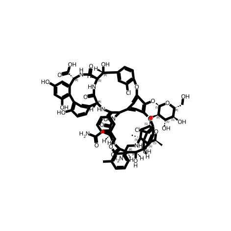 Cc1cccc(CN[C@@]2(C)C[C@H](O[C@H]3[C@H](Oc4c5cc6cc4Oc4ccc(cc4Cl)[C@@H](O)[C@@H]4NC(=O)[C@H](NC(=O)C6NC(=O)[C@H](CC(N)=O)NC(=O)[C@H](N)[C@H](O)[C@H]6C=CC(=C(Cl)C6)O5)c5ccc(O)c(c5)-c5c(O)cc(O)cc5[C@H](C(=O)O)NC4=O)O[C@H](CO)[C@@H](O)[C@@H]3O)O[C@@H](C)[C@H]2O)c1OCc1ccccc1